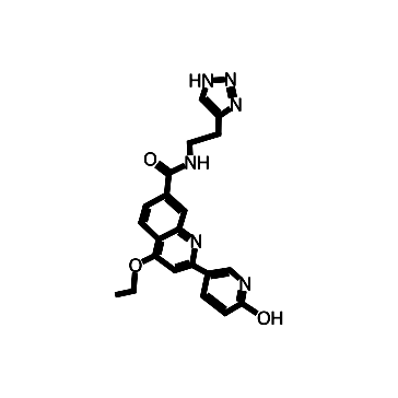 CCOc1cc(-c2ccc(O)nc2)nc2cc(C(=O)NCCc3c[nH]nn3)ccc12